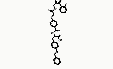 O=C(COc1ccc(C(=O)NC(Cc2ccc(OCc3ccccc3)cc2)C(=O)O)cc1)NCc1sccc1-c1ccccc1F